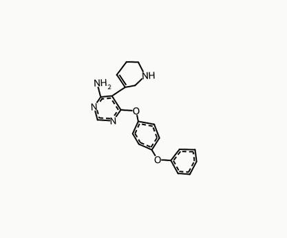 Nc1ncnc(Oc2ccc(Oc3ccccc3)cc2)c1C1=CCCNC1